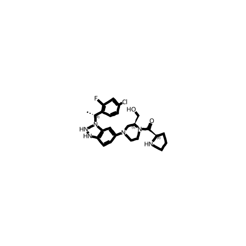 C[C@H](c1ccc(Cl)cc1F)N1NNc2ccc(N3CCN(C(=O)[C@H]4CCCN4)[C@H](CO)C3)cc21